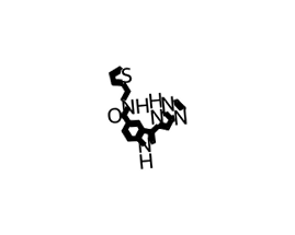 O=C(NCCc1cccs1)c1ccc2[nH]cc(-c3cc4nccnc4[nH]3)c2c1